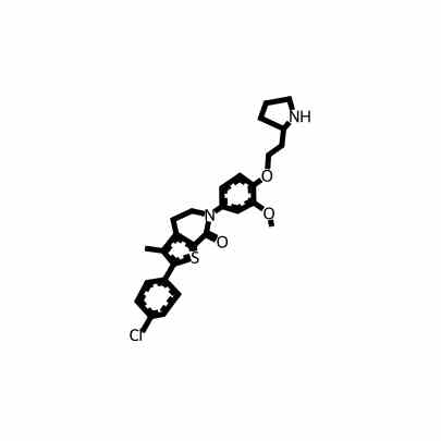 COc1cc(N2CCc3c(sc(-c4ccc(Cl)cc4)c3C)C2=O)ccc1OCCC1CCCN1